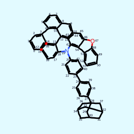 c1ccc(-c2cccc3cccc(-c4ccccc4N(c4ccc(-c5ccc(C67CC8CC(CC(C8)C6)C7)cc5)cc4)c4cccc5oc6ccccc6c45)c23)cc1